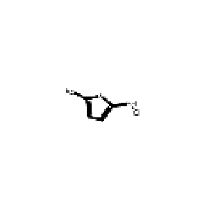 CC(=O)c1ccc(BO)s1